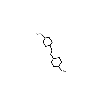 CCCCCC1CCC(CCC2CCC(C=O)CC2)CC1